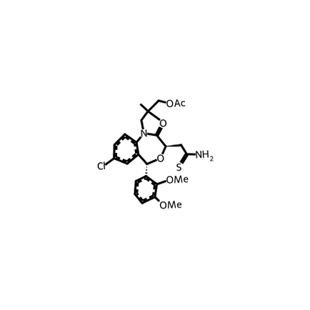 COc1cccc([C@H]2O[C@H](CC(N)=S)C(=O)N(CC(C)(C)COC(C)=O)c3ccc(Cl)cc32)c1OC